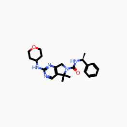 C[C@H](NC(=O)N1Cc2nc(NC3CCOCC3)ncc2C1(C)C)c1ccccc1